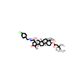 CC(C)C1=C2[C@H]3CC[C@H]4[C@@H](CC[C@H]5C(C)(C)[C@@H](OC(=O)CC(C)(C)CC(=O)O)CC[C@]45C)[C@]3(C)CC[C@@]2([C@H](O)CNCc2ccc(Cl)cc2)CC1=O